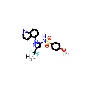 CC(C)Oc1ccc(S(=O)(=O)Nc2cc(C(C)(F)F)nn2-c2cccc3ncccc23)cc1